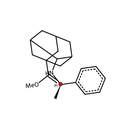 COC(=O)C12CC3CC(C1)C(N[C@H](C)c1ccccc1)C(C3)C2